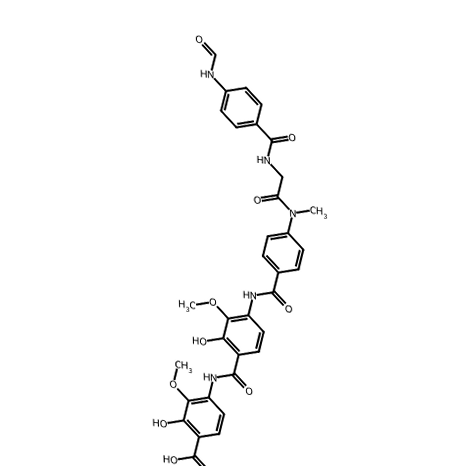 COc1c(NC(=O)c2ccc(NC(=O)c3ccc(N(C)C(=O)CNC(=O)c4ccc(NC=O)cc4)cc3)c(OC)c2O)ccc(C(=O)O)c1O